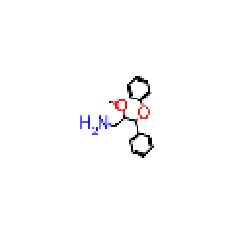 COC(CN)C(Oc1ccccc1)c1ccccc1